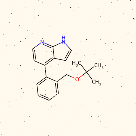 CC(C)(C)OCc1ccccc1-c1ccnc2[nH]ccc12